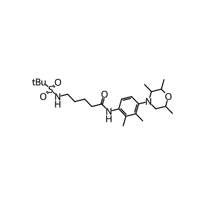 Cc1c(NC(=O)CCCCNS(=O)(=O)C(C)(C)C)ccc(N2CC(C)OC(C)C2C)c1C